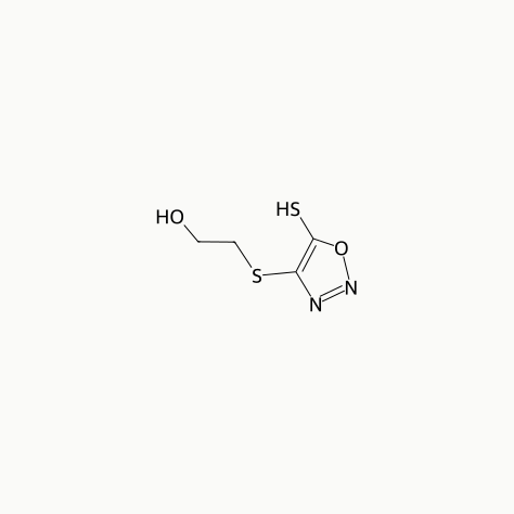 OCCSc1nnoc1S